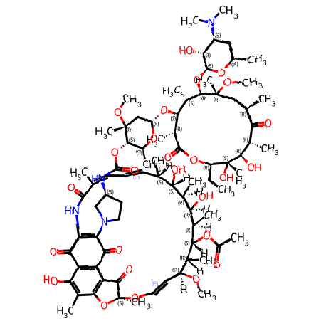 CC[C@H]1OC(=O)[C@H](C)[C@@H](O[C@H]2C[C@@](C)(OC)[C@@H](OC(=O)N[C@H]3CCN(C4=C5NC(=O)/C(C)=C\C=C\[C@H](C)[C@H](O)[C@@H](C)[C@@H](O)[C@@H](C)[C@H](OC(C)=O)[C@H](C)[C@@H](OC)/C=C/O[C@@]6(C)Oc7c(C)c(O)c(c(c7C6=O)C4=O)C5=O)C3)[C@H](C)O2)[C@H](C)[C@@H](O[C@@H]2O[C@H](C)C[C@H](N(C)C)[C@H]2O)[C@](C)(OC)C[C@@H](C)C(=O)[C@H](C)[C@@H](O)[C@]1(C)O